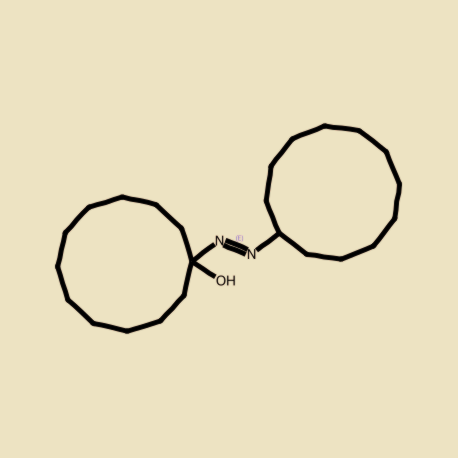 OC1(/N=N/C2CCCCCCCCCCC2)CCCCCCCCCCC1